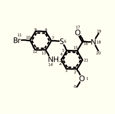 COc1ccc(Sc2ccc(Br)cc2N)c(C(=O)N(C)C)c1